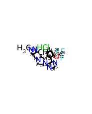 Cc1nn(C)cc1CN1CCN(c2nccnc2-c2ccccc2OC(F)(F)F)CC1.Cl